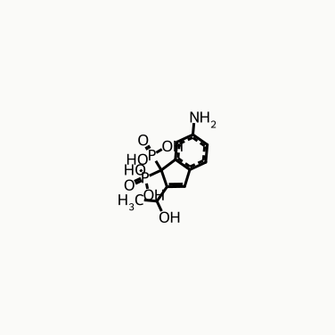 CC(O)C1=Cc2ccc(N)cc2C1(P(=O)(O)O)P(=O)(O)O